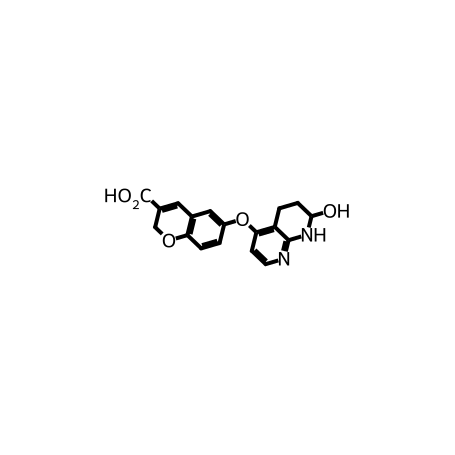 O=C(O)C1=Cc2cc(Oc3ccnc4c3CCC(O)N4)ccc2OC1